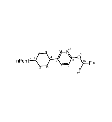 CCCCCC1CCC(c2ccc(OC(F)F)nc2)CC1